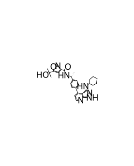 C[C@@H](NC(=O)c1cc(C(C)(C)O)on1)c1ccc(-c2ccnc3[nH]nc(NC4CCCCC4)c23)cc1